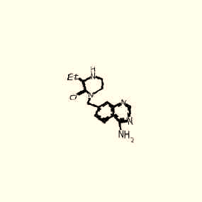 CCC1NCCN(Cc2ccc3c(N)ncnc3c2)C1=O